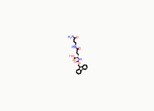 NC(=O)CCNC(=O)CC[C@H](NC(=O)OCC1c2ccccc2-c2ccccc21)C(=O)O